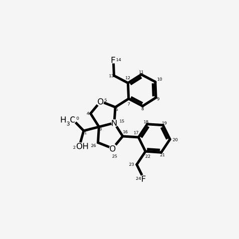 CC(O)C12COC(c3ccccc3CF)N1C(c1ccccc1CF)OC2